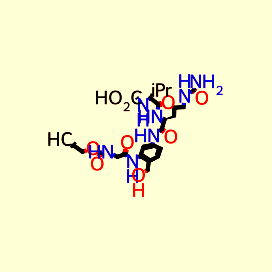 C#CCOC(=O)NCC(=O)Nc1cc(NC(=O)[C@H](CCCNC(N)=O)NC(=O)[C@@H](NC(=O)O)C(C)C)ccc1CO